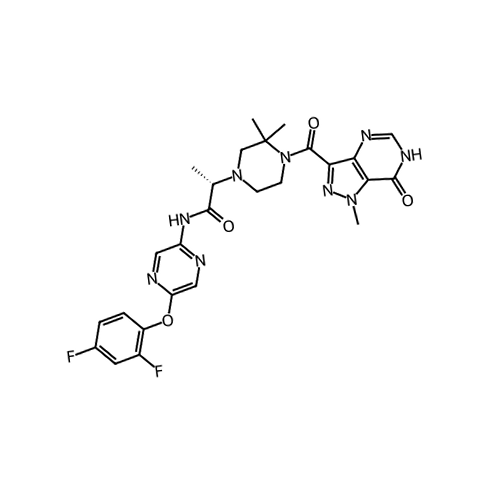 C[C@@H](C(=O)Nc1cnc(Oc2ccc(F)cc2F)cn1)N1CCN(C(=O)c2nn(C)c3c(=O)[nH]cnc23)C(C)(C)C1